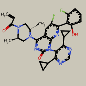 C=CC(=O)N1C[C@H](C)N(c2nc(=O)n(-c3c(C4CC4)ncnc3C3CC3)c3nc(-c4c(O)cccc4F)c(F)cc23)C[C@H]1C